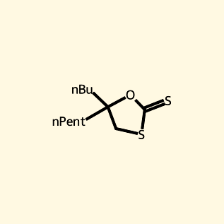 CCCCCC1(CCCC)CSC(=S)O1